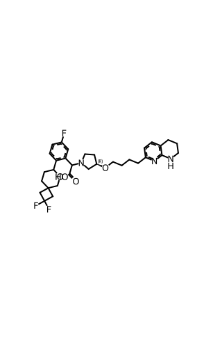 O=C(O)C(c1cc(F)ccc1C1CCC2(CO1)CC(F)(F)C2)N1CC[C@@H](OCCCCc2ccc3c(n2)NCCC3)C1